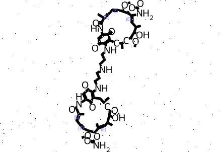 COC1/C=C\C=C(/C)C(=O)NC2=CC(=O)C(NCCCNCCCNC3=C4CC(C)CC(OC)C(O)C(C)/C=C(\C)C(OC(N)=O)C(OC)/C=C\C=C(/C)C(=O)NC(=CC3=O)C4=O)=C(CC(C)CC(OC)C(O)C(C)/C=C(\C)C1OC(N)=O)C2=O